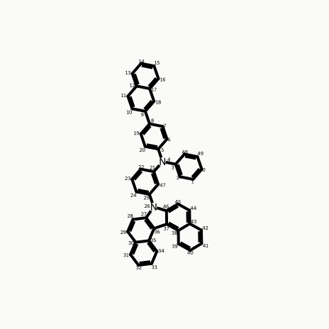 c1ccc(N(c2ccc(-c3ccc4ccccc4c3)cc2)c2cccc(-n3c4ccc5ccccc5c4c4c5ccccc5ccc43)c2)cc1